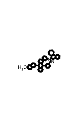 Cc1ccc2cc(-c3c4ccccc4c(-c4cccc(-c5nc6c7ccccc7c7c(c6n5-c5ccccc5)C=CC=CC7)c4)c4ccccc34)ccc2c1